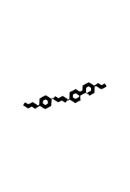 CCC=C[C@H]1CC[C@H](CCC=C[C@H]2CC[C@H]([C@H]3CC[C@H](CCC)CC3)CC2)CC1